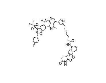 CC(Oc1cc(-c2nn(C)c3c(-c4cnn(CCCCCCC(=O)Nc5cccc6c5CN(C5CCC(=O)NC5=O)C6=O)c4)cnc(N)c23)ccc1NS(=O)(=O)C(F)F)c1ccc(F)cc1